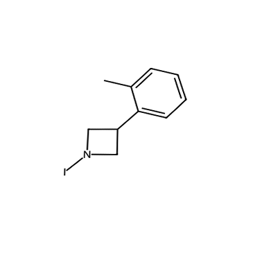 Cc1ccccc1C1CN(I)C1